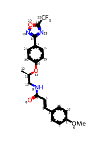 COc1ccc(C=CC(=O)NC[C@@H](C)Oc2ccc(-c3noc(C(F)(F)F)n3)cc2)cc1